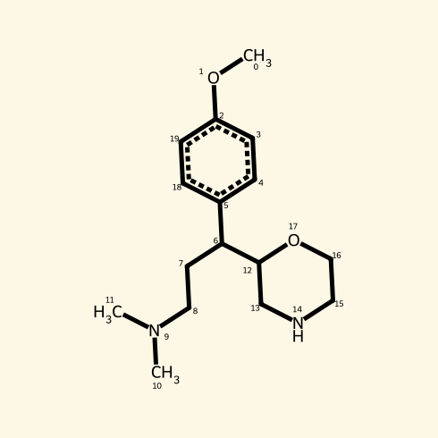 COc1ccc(C(CCN(C)C)C2CNCCO2)cc1